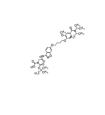 COc1cc(C(=O)N(C(C)C)C(C)C)ccc1OCCCCOc1ccc2c(NC(=O)CN(C(=O)O)C(=O)OC(C)(C)C)noc2c1